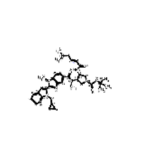 CN(C)C/C=C/C(=O)N[C@@H]1CN(C(=O)OC(C)(C)C)C[C@H]1N(C)C(=O)c1ccc2c(c1)nc(-c1cc3cccnc3n1CC1CC1)n2C